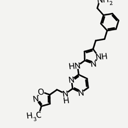 Cc1cc(CNc2nccc(Nc3cc(CCc4cccc(CN)c4)[nH]n3)n2)on1